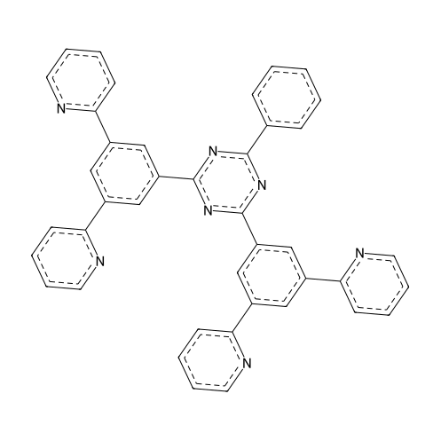 c1ccc(-c2nc(-c3cc(-c4ccccn4)cc(-c4ccccn4)c3)nc(-c3cc(-c4ccccn4)cc(-c4ccccn4)c3)n2)cc1